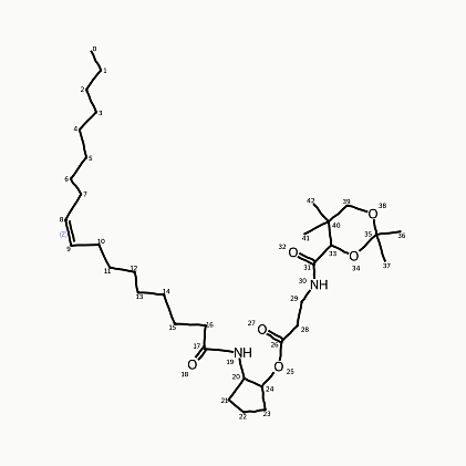 CCCCCCCC/C=C\CCCCCCCC(=O)NC1CCCC1OC(=O)CCNC(=O)C1OC(C)(C)OCC1(C)C